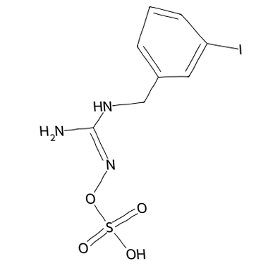 NC(=NOS(=O)(=O)O)NCc1cccc(I)c1